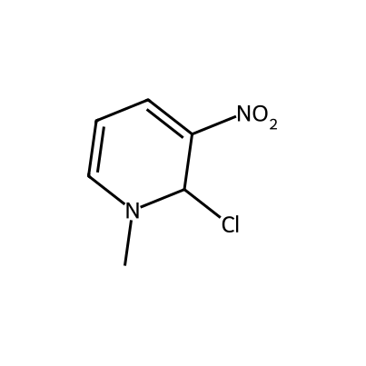 CN1C=CC=C([N+](=O)[O-])C1Cl